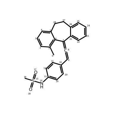 Cc1cccc2c1C(=C=Cc1ccc(NS(C)(=O)=O)cc1)c1ccccc1CC2